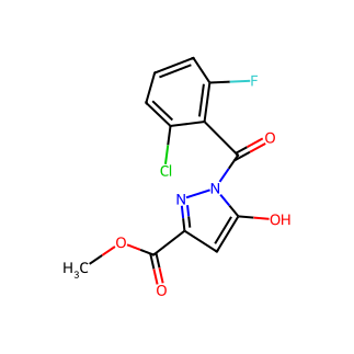 COC(=O)c1cc(O)n(C(=O)c2c(F)cccc2Cl)n1